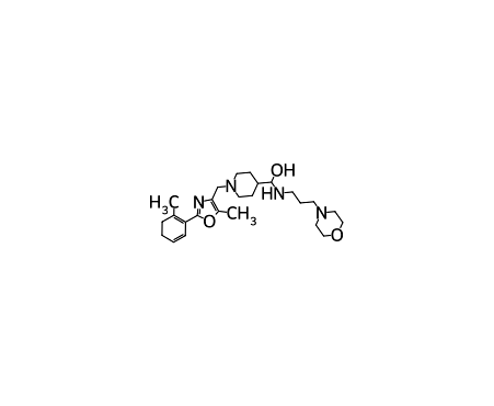 CC1=C(c2nc(CN3CCC(C(O)NCCCN4CCOCC4)CC3)c(C)o2)C=CCC1